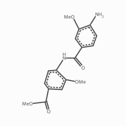 COC(=O)c1ccc(NC(=O)c2ccc(N)c(OC)c2)c(OC)c1